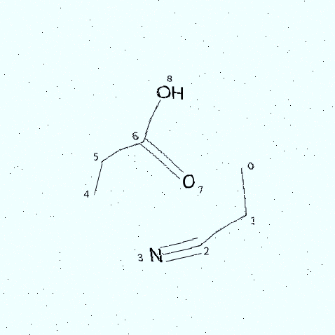 CCC#N.CCC(=O)O